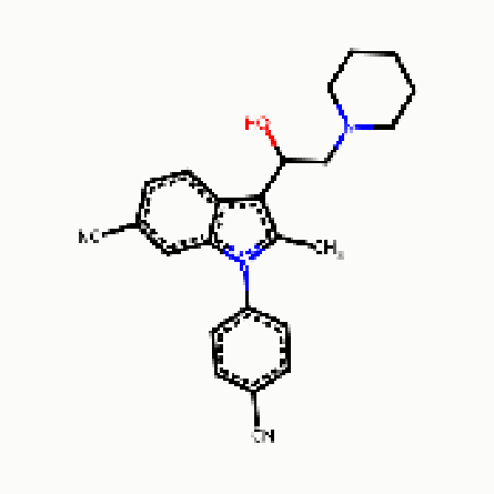 Cc1c(C(O)CN2CCCCC2)c2ccc(C#N)cc2n1-c1ccc(C#N)cc1